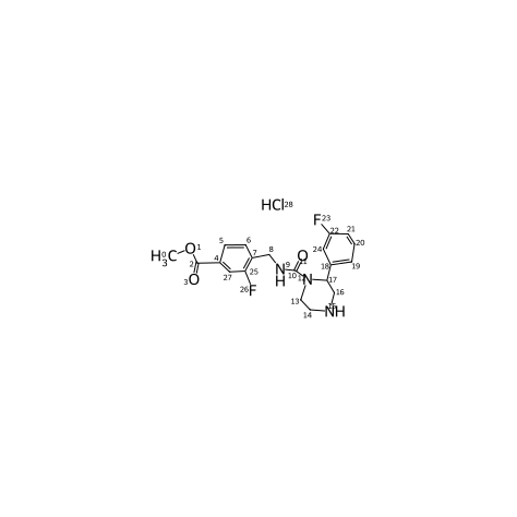 COC(=O)c1ccc(CNC(=O)N2CCNCC2c2cccc(F)c2)c(F)c1.Cl